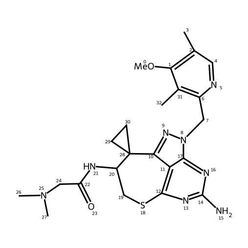 COc1c(C)cnc(Cn2nc3c4c(nc(N)nc42)SCC(NC(=O)CN(C)C)C32CC2)c1C